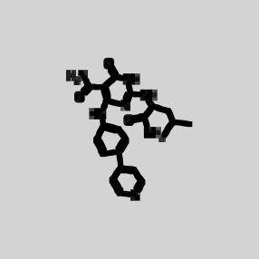 CC(C)CC(Nc1nc(Nc2ccc(-c3ccncc3)cc2)c(C(N)=O)c(=O)[nH]1)C(N)=O